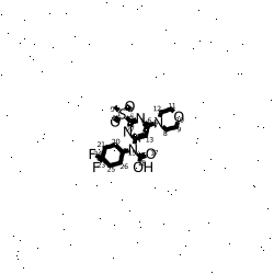 CS(=O)(=O)c1nc(N2CCOCC2)cc(N(C(=O)O)C2CCC(F)(F)CC2)n1